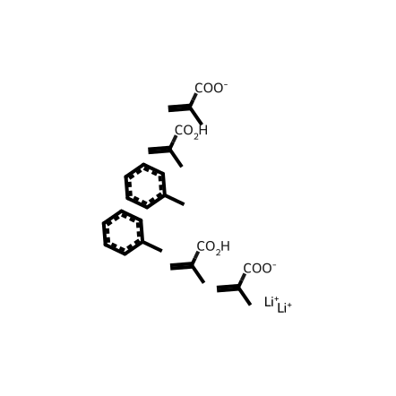 C=C(C)C(=O)O.C=C(C)C(=O)O.C=C(C)C(=O)[O-].C=C(C)C(=O)[O-].Cc1ccccc1.Cc1ccccc1.[Li+].[Li+]